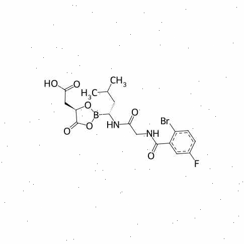 CC(C)C[C@H](NC(=O)CNC(=O)c1cc(F)ccc1Br)B1OC(=O)[C@@H](CC(=O)O)O1